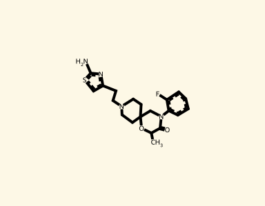 CC1OC2(CCN(CCc3csc(N)n3)CC2)CN(c2ccccc2F)C1=O